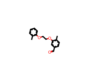 Cc1ccccc1OCCOc1cc(C=O)ccc1C